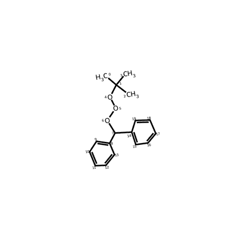 CC(C)(C)OOOC(c1ccccc1)c1ccccc1